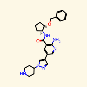 Nc1ncc(-c2cnn(C3CCNCC3)c2)cc1C(=O)N[C@H]1CCC[C@@H]1OCc1ccccc1